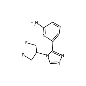 Nc1cccc(-c2nncn2C(CF)CF)n1